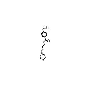 CCc1ccc(C(=O)CCCCCN2CC[CH]CC2)cc1